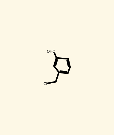 O=Cc1cccc(CCl)c1